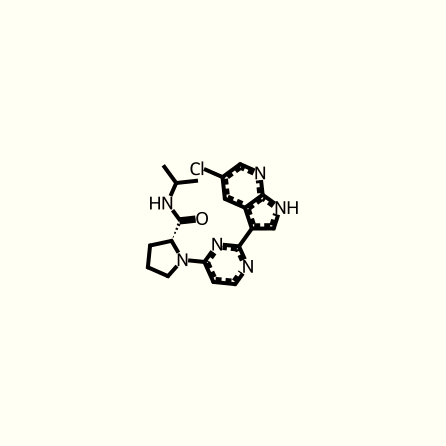 CC(C)NC(=O)[C@H]1CCCN1c1ccnc(-c2c[nH]c3ncc(Cl)cc23)n1